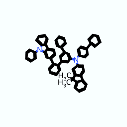 CC1(C)c2ccccc2-c2ccc(N(c3ccc(-c4ccccc4)cc3)c3cc(-c4ccccc4)cc(-c4ccccc4-c4ccc5c6ccccc6n(-c6ccccc6)c5c4)c3)cc21